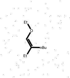 [CH2]COC=C(CC)CCCC